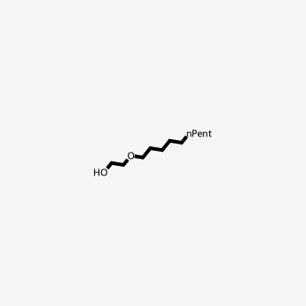 CCCCCCCCCCOCCO